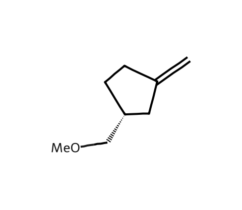 C=C1CC[C@@H](COC)C1